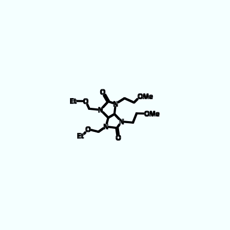 CCOCN1C(=O)N(CCOC)C2C1N(COCC)C(=O)N2CCOC